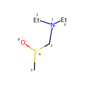 CCN(CC)C[S+](C)[O-]